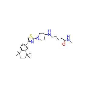 CNC(=O)CCCCNC1CCN(c2nc(-c3ccc4c(c3)C(C)(C)CCC4(C)C)cs2)CC1